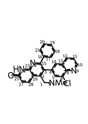 CNCc1c(-c2cc(Cl)c3ncccc3c2)c(-c2ccccc2)nc2[nH]c(=O)ccc12